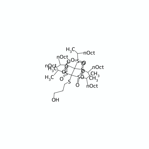 CCCCCCCCC(C)S(=O)(=O)C(SCCCO)(C(S(=O)(=O)C(C)CCCCCCCC)(S(=O)(=O)C(C)CCCCCCCC)S(=O)(=O)C(C)CCCCCCCC)S(=O)(=O)C(C)CCCCCCCC